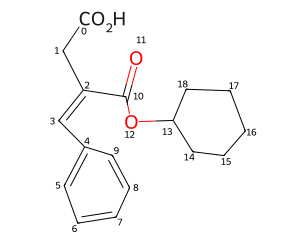 O=C(O)CC(=Cc1ccccc1)C(=O)OC1CCCCC1